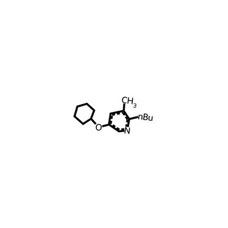 CCCCc1ncc(OC2CCCCC2)cc1C